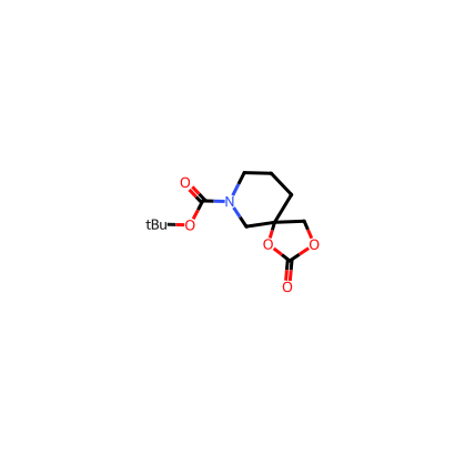 CC(C)(C)OC(=O)N1CCCC2(COC(=O)O2)C1